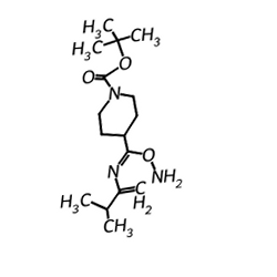 C=C(/N=C(\ON)C1CCN(C(=O)OC(C)(C)C)CC1)C(C)C